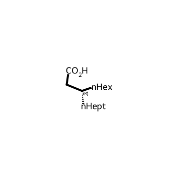 CCCCCCC[C@@H](CCCCCC)CC(=O)O